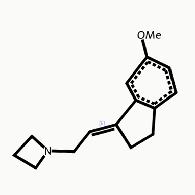 COc1ccc2c(c1)/C(=C/CN1CCC1)CC2